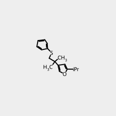 CC(C)c1cc(C(C)(C)CSc2ccccc2)co1